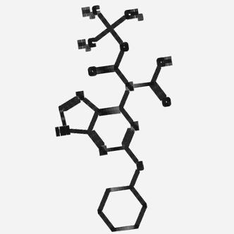 CC(C)(C)OC(=O)N(C(=O)O)c1nc(SC2CCCCC2)nc2[nH]cnc12